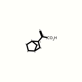 C=C(C(=O)O)C1CC2CCC1C2